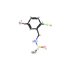 CC(C)(C)[S+]([O-])NCc1cc(Br)ccc1F